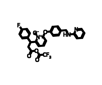 O=C(CC(c1ccc(F)cc1)c1cccc(Oc2ccc(CNc3ccccn3)cc2)[n+]1[O-])OC(=O)C(F)(F)F